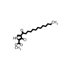 CCCCCCCCCCCCC(=O)c1c[nH]c(C(=O)OC)c1Cl